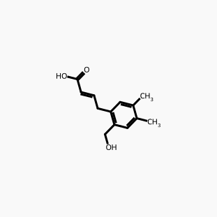 Cc1cc(CO)c(C/C=C/C(=O)O)cc1C